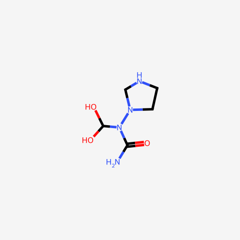 NC(=O)N(C(O)O)N1CCNC1